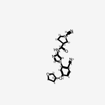 N#Cc1ccc(O[C@H]2CCOC2)cc1-n1cnc(NC(=O)C2CCN(C#N)C2)c1